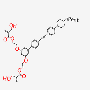 C=C(CO)C(=O)OCCOc1cc(OCCOC(=O)C(=C)CO)cc(-c2ccc(C#Cc3ccc(C4CCC(CCCCC)CC4)cc3)cc2)c1